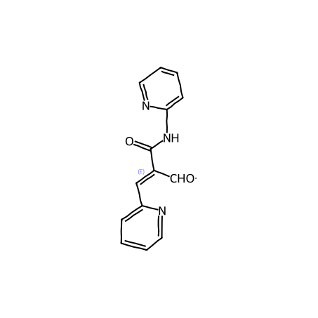 O=[C]/C(=C\c1ccccn1)C(=O)Nc1ccccn1